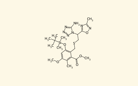 COC(=O)c1c(C)c(OC)cc(O[Si](C)(C)C(C)(C)C)c1CSCC(c1nc(C)no1)n1nnnc1N